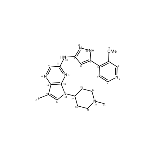 COc1cnccc1-c1cc(Nc2cnc3c(F)cn(C4CCN(C)CC4)c3n2)n[nH]1